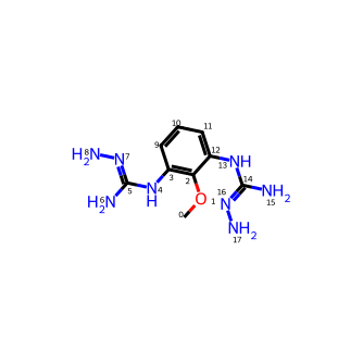 COc1c(NC(N)=NN)c[c]cc1NC(N)=NN